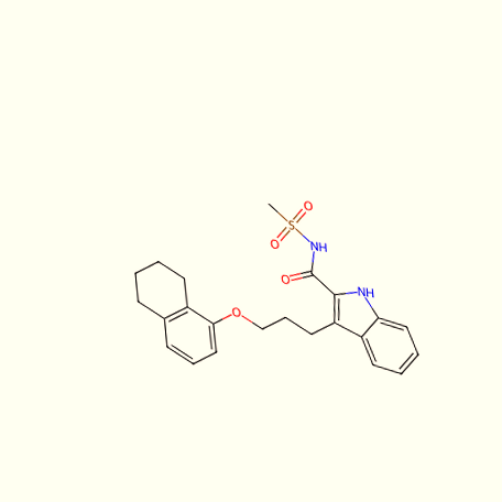 CS(=O)(=O)NC(=O)c1[nH]c2ccccc2c1CCCOc1cccc2c1CCCC2